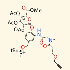 C#CCOCCC(=O)N(C)CC(=O)Nc1cc(CO[Si](C)(C)C(C)(C)C)ccc1O[C@H]1OC(C(=O)OC)[C@@H](OC(C)=O)C(OC(C)=O)C1OC(C)=O